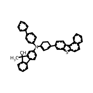 CC1(C)c2ccccc2-c2ccc(N(C3=CC=C(c4ccc5c(c4)sc4ccc6ccccc6c45)CC3)c3ccc(-c4ccccc4)cc3)cc21